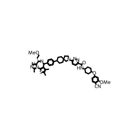 COCC[C@@H]1N=C(c2ccc(C3CCC4(CC3)CCN(c3ccc(C(=O)NC5CCC(Oc6ccc(C#N)c(OC)c6)CC5)nn3)C4)cc2)c2c(sc(C)c2C)-n2c(C)nnc21